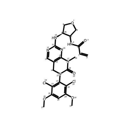 C=CC(=O)NC1COC[C@@H]1Nc1ncc2c(n1)N(C)C(=O)N(c1c(Cl)c(OC)cc(OC)c1Cl)C2